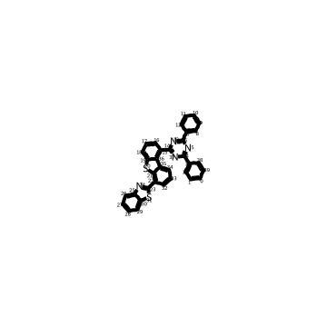 c1ccc(-c2nc(-c3ccccc3)nc(-c3cccc4sc5c(-c6nc7ccccc7s6)cccc5c34)n2)cc1